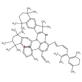 C=Cc1cc(/C=C/C=C\C(=C(C)C)C2=C(C)CCC(C)=C2)c2c(c1-c1ccccc1C)N(c1ccc3c(c1)C(C)(C)CC(C)C3(C)C)C1=C(B2)C(C)(C)c2cc3c(cc21)C(C)(C)CCC3(C)C